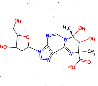 C[C@]1(C(=O)O)N=C2c3ncn(C4CC(O)C(CO)O4)c3N=CN2[C@](C)(O)C1O